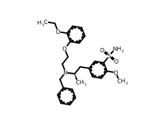 CCOc1ccccc1OCCN(Cc1ccccc1)[C@H](C)Cc1ccc(OC)c(S(N)(=O)=O)c1